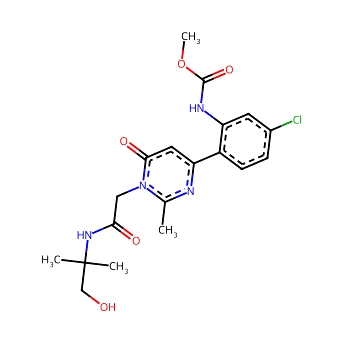 COC(=O)Nc1cc(Cl)ccc1-c1cc(=O)n(CC(=O)NC(C)(C)CO)c(C)n1